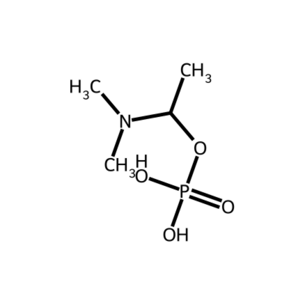 CC(OP(=O)(O)O)N(C)C